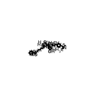 Cc1ncsc1-c1ccc([C@H](C)NC(=O)[C@@H]2C[C@@H](O)CN2C(=O)[C@@H](NC(=O)CCCCCNC(=O)c2ccccn2)C(C)(C)C)cc1